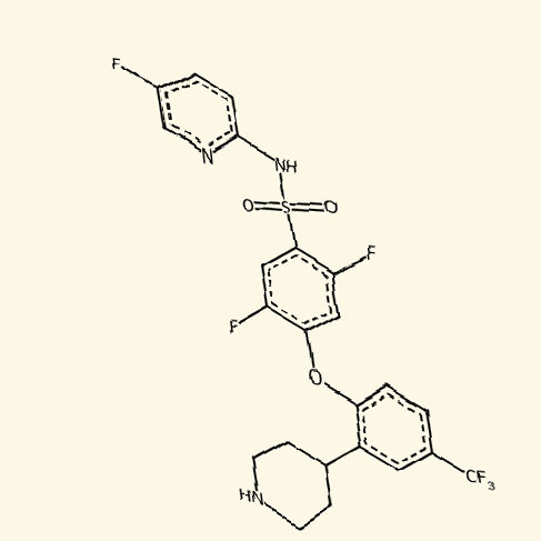 O=S(=O)(Nc1ccc(F)cn1)c1cc(F)c(Oc2ccc(C(F)(F)F)cc2C2CCNCC2)cc1F